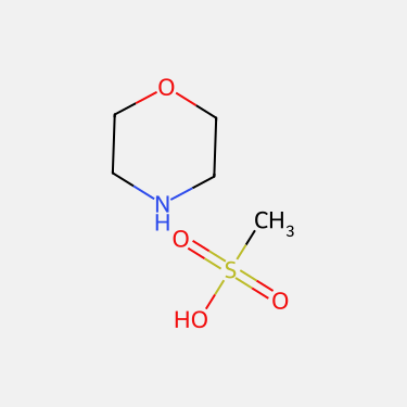 C1COCCN1.CS(=O)(=O)O